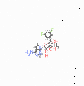 C[C@@]1(O)[C@@H]([C@H](O)c2cc(F)cc(F)c2)O[C@@H](n2ccc3c(N)ncnc32)[C@@H]1O